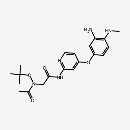 CNc1ccc(Oc2ccnc(NC(=O)CN(OC(C)(C)C)C(C)=O)c2)cc1N